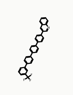 FC(F)(F)c1cccc(-c2ccc(-c3ccc(-c4ccc(-c5cnc6ccccc6c5)cc4)cc3)cc2)c1